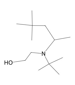 CC(CC(C)(C)C)N(CCO)C(C)(C)C